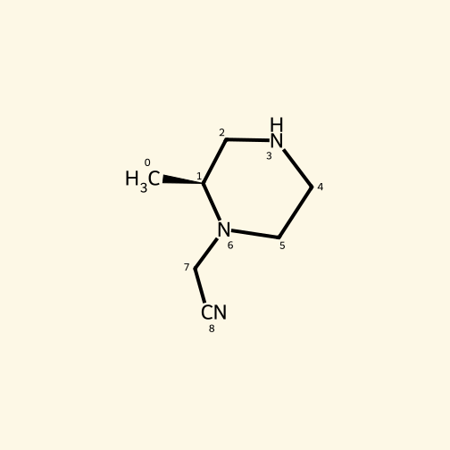 C[C@H]1CNCCN1CC#N